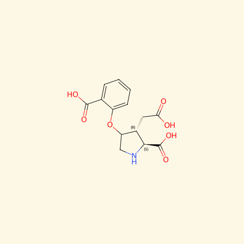 O=C(O)C[C@H]1C(Oc2ccccc2C(=O)O)CN[C@@H]1C(=O)O